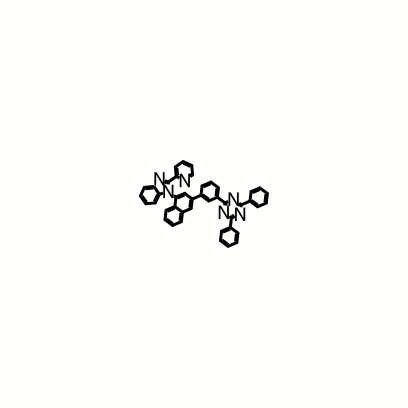 c1ccc(-c2nc(-c3ccccc3)nc(-c3cccc(-c4cc(-n5c(-c6ccccn6)nc6ccccc65)c5ccccc5c4)c3)n2)cc1